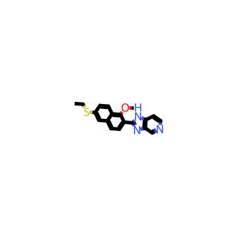 CCSc1ccc2c(OC)c(-c3nc4cnccc4[nH]3)ccc2c1